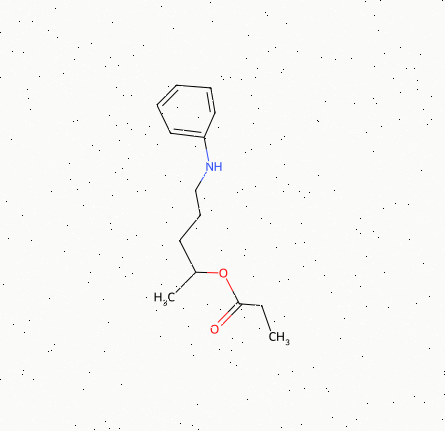 CCC(=O)OC(C)CCCNc1ccccc1